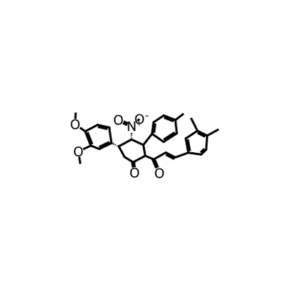 COc1ccc([C@H]2CC(=O)C(C(=O)/C=C/c3ccc(C)c(C)c3)C(c3ccc(C)cc3)[C@H]2[N+](=O)[O-])cc1OC